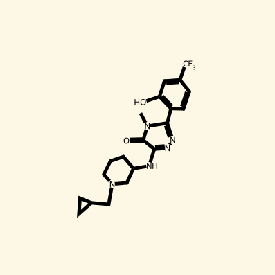 Cn1c(-c2ccc(C(F)(F)F)cc2O)nnc(NC2CCCN(CC3CC3)C2)c1=O